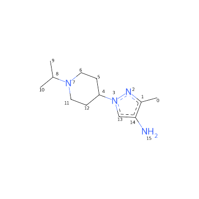 Cc1nn(C2CCN(C(C)C)CC2)cc1N